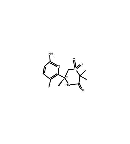 CC1(C)C(=N)N[C@](C)(c2nc(N)ccc2F)CS1(=O)=O